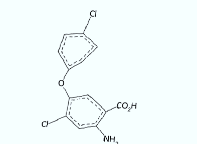 Nc1cc(Cl)c(Oc2ccc(Cl)cc2)cc1C(=O)O